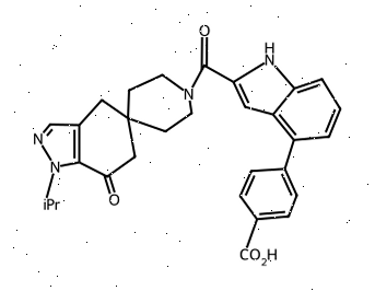 CC(C)n1ncc2c1C(=O)CC1(CCN(C(=O)c3cc4c(-c5ccc(C(=O)O)cc5)cccc4[nH]3)CC1)C2